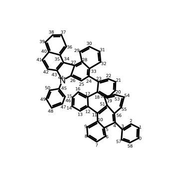 c1ccc(-c2c3ccccc3c(-c3ccccc3-c3ccccc3-c3cc4c(c5ccccc35)c3c5ccccc5ccc3n4-c3ccccc3)c3ccccc23)cc1